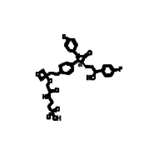 O=C(COC1(CCc2ccc(C3[C@@H](CCC(O)c4ccc(F)cc4)C(=O)N3C3C=CC(F)=CC3)cc2)COC1)NCCS(=O)(=O)O